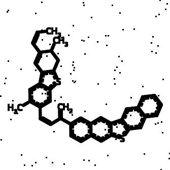 C=C(/C=C\c1cc2sc3c(c2cc1C)C=C(/C=C\C)C(C)C3)c1ccc2cc3sc4cc5ccccc5cc4c3cc2c1